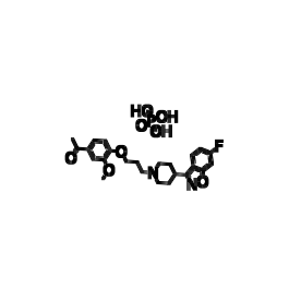 COc1cc(C(C)=O)ccc1OCCCN1CCC(c2noc3cc(F)ccc23)CC1.O=P(O)(O)O